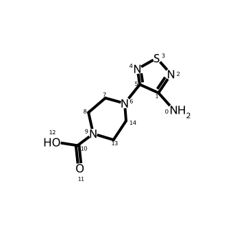 Nc1nsnc1N1CCN(C(=O)O)CC1